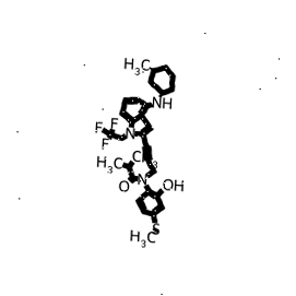 CSc1ccc(N(CC#Cc2cc3c(N[C@@H]4CCC[C@@H](C)C4)cccc3n2CC(F)(F)F)C(=O)C(C)C)c(O)c1